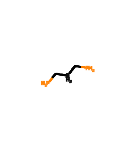 PC[SiH2]CP